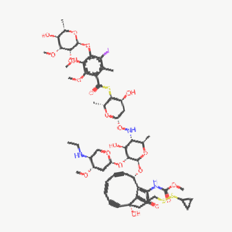 CCN[C@H]1CO[C@@H](O[C@H]2[C@H](O[C@H]3C#CC=CC#C[C@]4(O)CC(=O)C(NC(=O)OC)=C3/C4=C\CSSC3CC3)O[C@H](C)[C@@H](NO[C@H]3C[C@H](O)[C@H](SC(=O)c4c(C)c(I)c(O[C@@H]5O[C@@H](C)[C@H](O)[C@@H](OC)[C@H]5O)c(OC)c4OC)[C@@H](C)O3)[C@@H]2O)C[C@@H]1OC